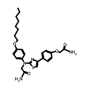 CCCCCCCCOc1ccc(N(CC(N)=O)c2nc(-c3ccc(OCC(N)=O)cc3)cs2)cc1